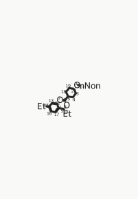 CCCCCCCCCOC1CCC(C(=O)OC(CC)c2ccc(CC)cc2)CC1